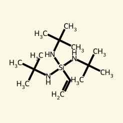 C=C[Si](NC(C)(C)C)(NC(C)(C)C)NC(C)(C)C